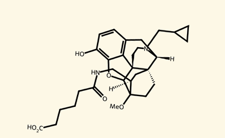 COC12CC[C@@]3(C[C@@H]1CNC(=O)CCCCC(=O)O)[C@H]1Cc4ccc(O)c5c4[C@@]3(CCN1CC1CC1)C2O5